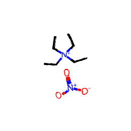 CC[N+](CC)(CC)CC.O=[N+]([O-])[O-]